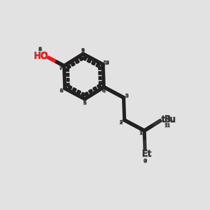 CCC(CCc1ccc(O)cc1)C(C)(C)C